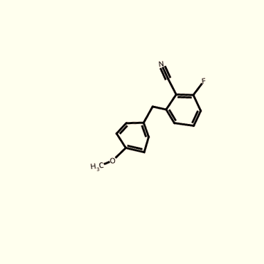 COc1ccc(Cc2cccc(F)c2C#N)cc1